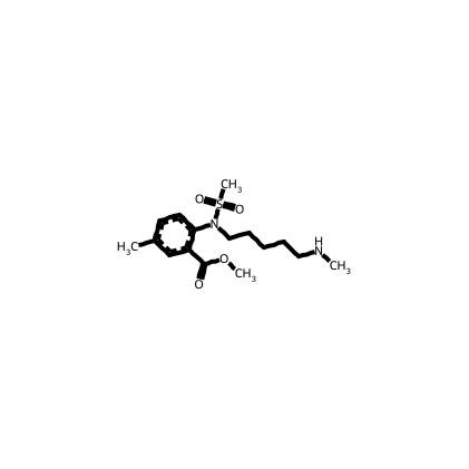 CNCCCCCN(c1ccc(C)cc1C(=O)OC)S(C)(=O)=O